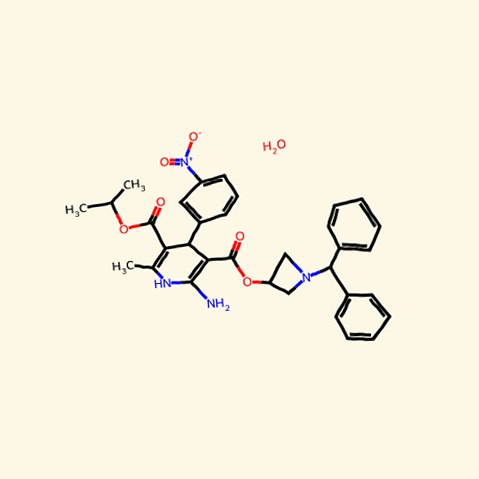 CC1=C(C(=O)OC(C)C)C(c2cccc([N+](=O)[O-])c2)C(C(=O)OC2CN(C(c3ccccc3)c3ccccc3)C2)=C(N)N1.O